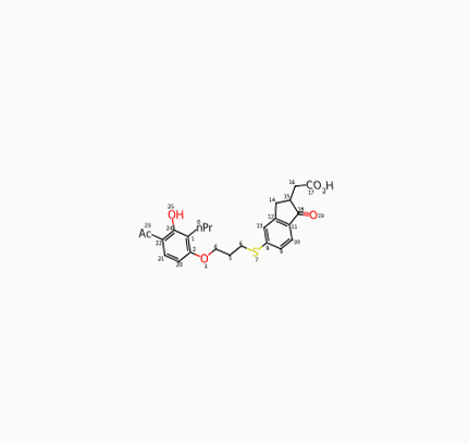 CCCc1c(OCCCSc2ccc3c(c2)CC(CC(=O)O)C3=O)ccc(C(C)=O)c1O